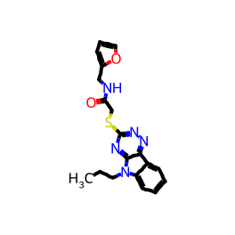 CCCn1c2ccccc2c2nnc(SCC(=O)NCc3ccco3)nc21